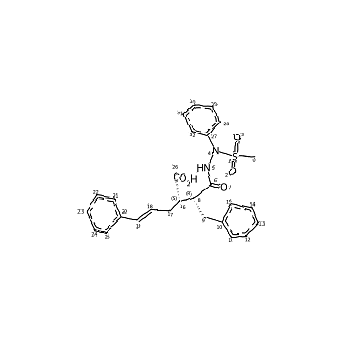 CS(=O)(=O)N(NC(=O)[C@H](Cc1ccccc1)[C@H](CC=Cc1ccccc1)C(=O)O)c1ccccc1